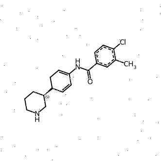 Cc1cc(C(=O)NC2=CCC([C@@H]3CCCNC3)C=C2)ccc1Cl